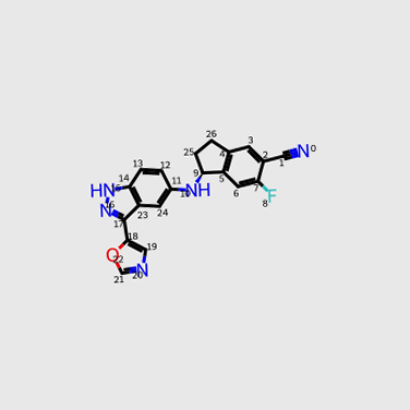 N#Cc1cc2c(cc1F)[C@@H](Nc1ccc3[nH]nc(-c4cnco4)c3c1)CC2